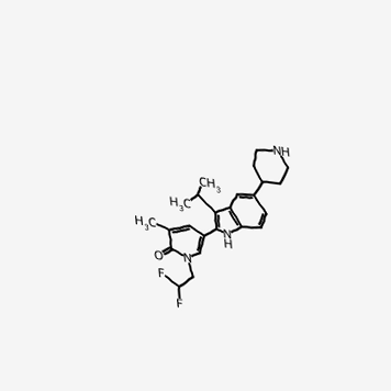 Cc1cc(-c2[nH]c3ccc(C4CCNCC4)cc3c2C(C)C)cn(CC(F)F)c1=O